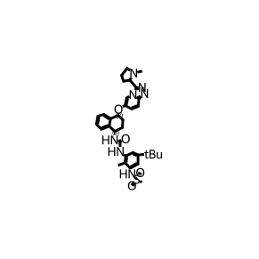 Cc1c(NC(=O)N[C@H]2CC[C@@H](Oc3ccc4nnc(C5CCCN5C)n4c3)c3ccccc32)cc(C(C)(C)C)cc1NS(C)(=O)=O